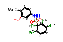 COc1ccc(NS(=O)(=O)C2(F)C(F)=C(F)C=CC2Br)cc1O